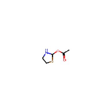 CC(=O)OC1NCCS1